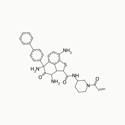 C=CC(=O)N1CCCC(NC(=O)C2Sc3c(N)ccc4c3C2C(N)C(=O)C4(N)c2ccc(-c3ccccc3)cc2)C1